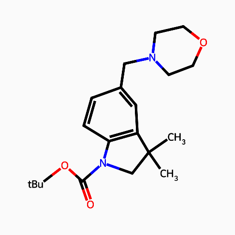 CC(C)(C)OC(=O)N1CC(C)(C)c2cc(CN3CCOCC3)ccc21